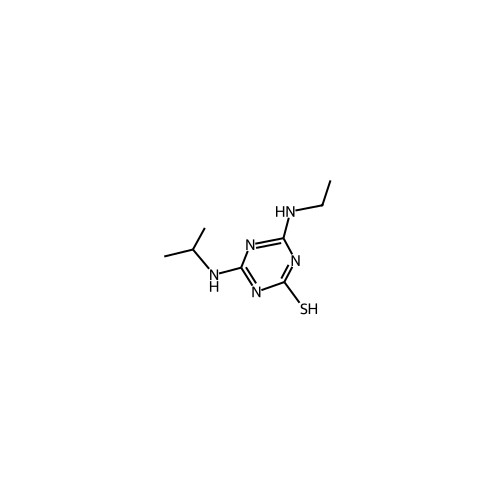 CCNc1nc(S)nc(NC(C)C)n1